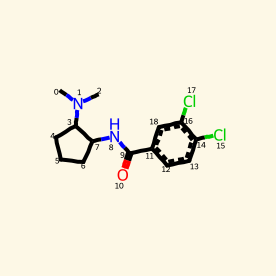 CN(C)C1CCCC1NC(=O)c1ccc(Cl)c(Cl)c1